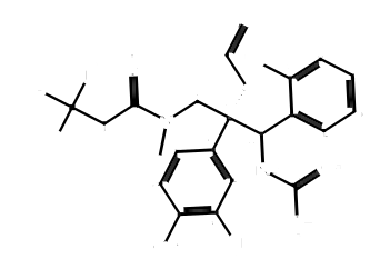 C=CC[C@@](CN(C)C(=O)CC(F)(F)F)(c1ccc(Cl)c(Cl)c1)C(NC(=O)O)c1ccccc1F